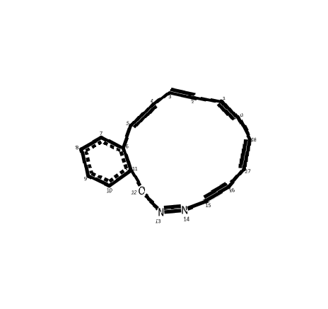 C1=CC=CC=Cc2ccccc2ON=NC=CC=C1